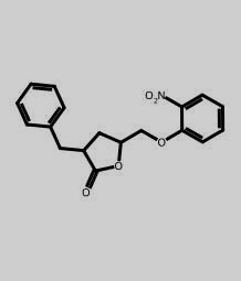 O=C1OC(COc2ccccc2[N+](=O)[O-])CC1Cc1ccccc1